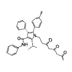 CC(=O)CC(=O)CC(=O)CCn1c(-c2ccc(F)cc2)c(-c2ccccc2)c(C(=O)Nc2ccccc2)c1C(C)C